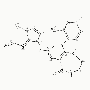 Cc1cc(F)ccc1-c1cc(Cn2ccn(C)/c2=N\C(=O)O)cc2c1OCCNC2=O